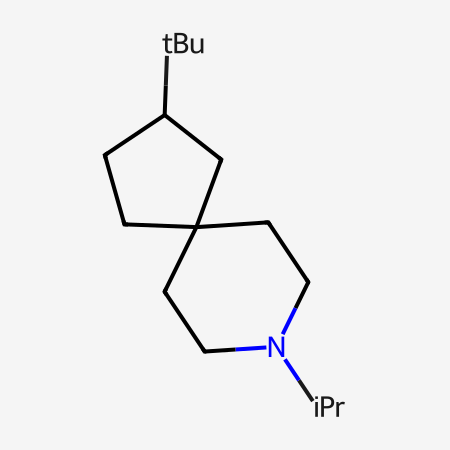 CC(C)N1CCC2(CCC(C(C)(C)C)C2)CC1